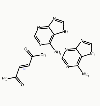 Nc1ncnc2nc[nH]c12.Nc1ncnc2nc[nH]c12.O=C(O)/C=C/C(=O)O